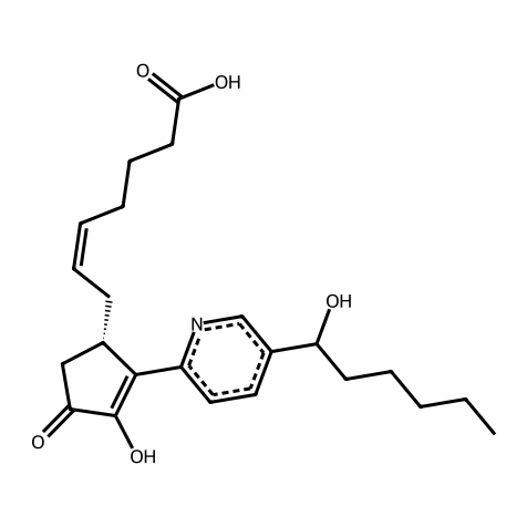 CCCCCC(O)c1ccc(C2=C(O)C(=O)C[C@@H]2C/C=C\CCCC(=O)O)nc1